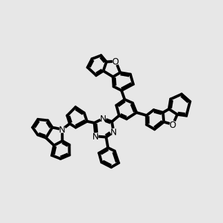 c1ccc(-c2nc(-c3cc(-c4ccc5oc6ccccc6c5c4)cc(-c4ccc5oc6ccccc6c5c4)c3)nc(-c3cccc(-n4c5ccccc5c5ccccc54)c3)n2)cc1